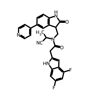 CC(C#N)N(CC1C(=O)Nc2ccc(-c3ccncc3)cc21)C(=O)Cc1cc2c(F)cc(F)cc2[nH]1